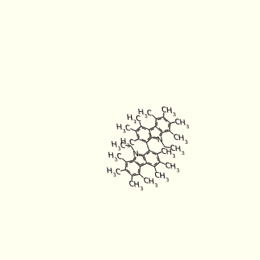 CCn1c2c(C)c(C)c(C)c(C)c2c2c(C)c(C)c(C)c(-c3c(C)c(C)c(C)c4c5c(C)c(C)c(C)c(C)c5n(CC)c34)c21